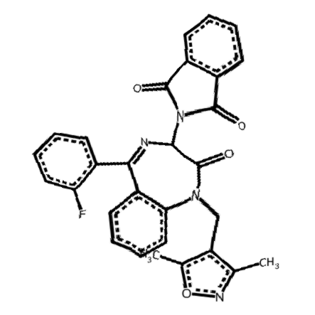 Cc1noc(C)c1CN1C(=O)C(N2C(=O)c3ccccc3C2=O)N=C(c2ccccc2F)c2ccccc21